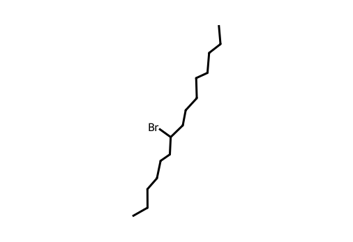 CCCCCCCCC(Br)CCCCCC